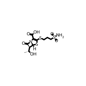 C[C@@H](O)[C@H]1C(=O)N2C(C(=O)O)=C(SCCCS(N)(=O)=O)S[C@H]12